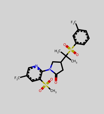 CC(C)(C1CC(=O)N(c2ncc(C(F)(F)F)cc2S(C)(=O)=O)C1)S(=O)(=O)c1cccc(C(F)(F)F)c1